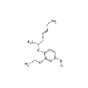 CCC=CCC(C)Oc1ccc(C=O)cc1OCC